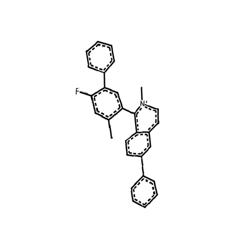 Cc1cc(F)c(-c2ccccc2)cc1-c1c2ccc(-c3ccccc3)cc2cc[n+]1C